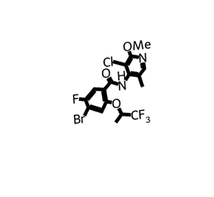 COc1ncc(C)c(NC(=O)c2cc(F)c(Br)cc2OC(C)C(F)(F)F)c1Cl